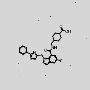 O=C(NCC1CCC(C(=O)O)CC1)c1cc(Cl)cc2ccn(Cc3csc(-c4ccccc4)n3)c12